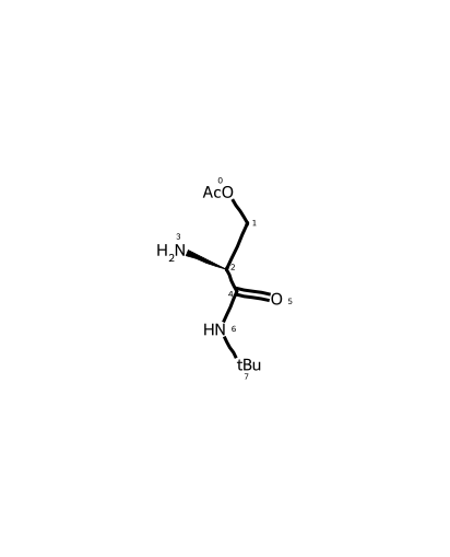 CC(=O)OC[C@H](N)C(=O)NC(C)(C)C